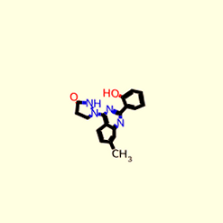 Cc1ccc2c(N3CCC(=O)N3)nc(-c3ccccc3O)nc2c1